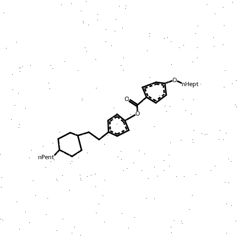 CCCCCCCOc1ccc(C(=O)Oc2ccc(CCC3CCC(CCCCC)CC3)cc2)cc1